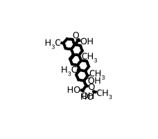 CC1CCC2(C(=O)O)CCC3C(=CCC4C3(C)CCC3C4(C)CCC(C(OC(C)O)C(O)O)[C@@]3(C)O)C2C1